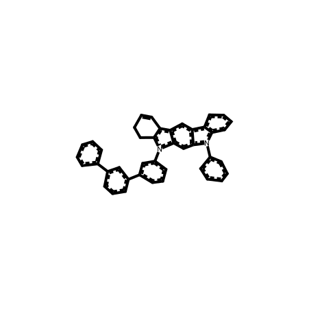 C1=Cc2c(n(-c3cccc(-c4cccc(-c5ccccc5)c4)c3)c3cc4c(cc23)c2ccccc2n4-c2ccccc2)CC1